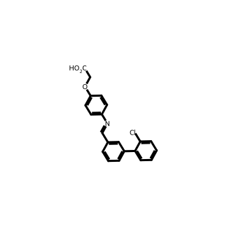 O=C(O)COc1ccc(N=Cc2cccc(-c3ccccc3Cl)c2)cc1